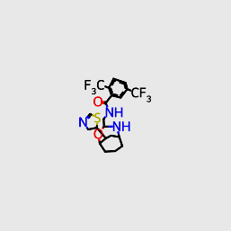 O=C(NCC1NC2CCCC(O1)C(C1CN=CS1)C2)c1cc(C(F)(F)F)ccc1C(F)(F)F